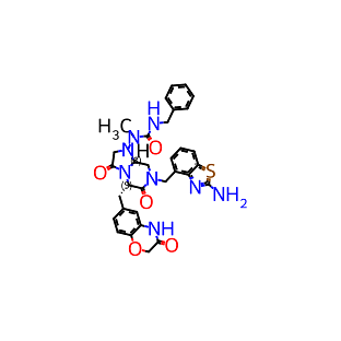 CN(C(=O)NCc1ccccc1)N1CC(=O)N2[C@@H](Cc3ccc4c(c3)NC(=O)CO4)C(=O)N(Cc3cccc4sc(N)nc34)C[C@@H]21